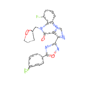 O=c1c2c(-c3noc(-c4ccc(F)cc4)n3)ncn2c2cccc(F)c2n1CC1CCCO1